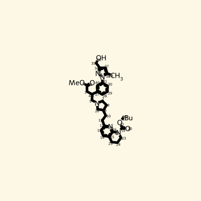 COC(=O)CC(CN1CCC(CCc2ccc3c(n2)N(C(=O)OC(C)(C)C)CCC3)C1)c1cccc(-n2nc(CO)cc2C)c1